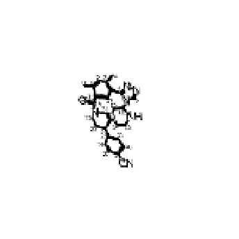 Cc1cc(C)c(-c2nncn2C2COCCN2)cc1C(=O)N1CCC(c2ccc(C#N)cc2)CC1